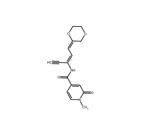 C#C/C(=C\C=C1/COCCO1)NC(=O)c1ccn(C)c(=O)c1